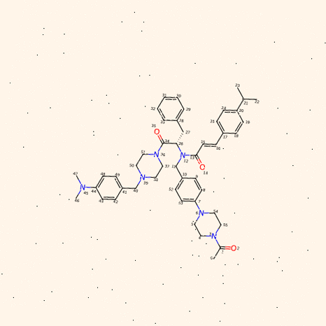 CC(=O)N1CCN(c2ccc(CN(C(=O)/C=C/c3ccc(C(C)C)cc3)[C@@H](Cc3ccccc3)C(=O)N3CCN(Cc4ccc(N(C)C)cc4)CC3)cc2)CC1